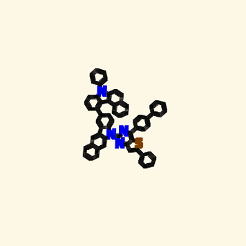 c1ccc(-c2ccc(-c3nc(-n4c5ccc(-c6cccc7c6c6c8ccccc8ccc6n7-c6ccccc6)cc5c5cc6ccccc6cc54)nc4cc(-c5ccccc5)sc34)cc2)cc1